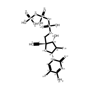 C#C[C@]1(COP(=O)(O)OP(=O)(O)OP(=O)(O)O)O[C@@H](n2cc(F)c(N)nc2=S)C(F)[C@H]1O